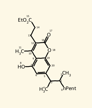 CCCCCC(C)C(C)c1cc(O)c2c(C)c(CCC(=O)OCC)c(=O)oc2c1